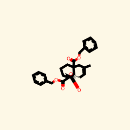 CC1=CC[C@@]23OC(=O)CC2(C(=O)OCc2ccccc2)CCCC3(C(=O)OCc2ccccc2)C1